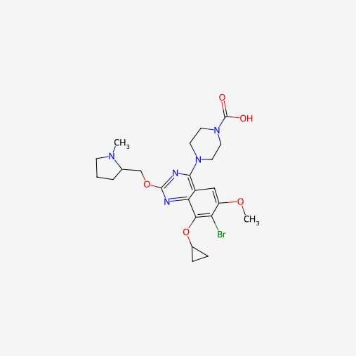 COc1cc2c(N3CCN(C(=O)O)CC3)nc(OCC3CCCN3C)nc2c(OC2CC2)c1Br